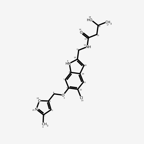 Cc1cc(COc2cc3[nH]c(CNC(=O)CC(C)O)cc3cc2Cl)on1